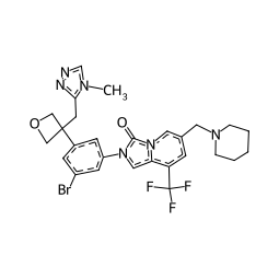 Cn1cnnc1CC1(c2cc(Br)cc(-n3cc4c(C(F)(F)F)cc(CN5CCCCC5)cn4c3=O)c2)COC1